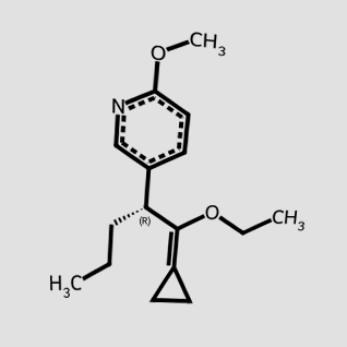 CCC[C@@H](C(OCC)=C1CC1)c1ccc(OC)nc1